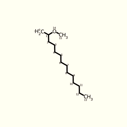 [CH2]C(CCCCCCCCCCCC)OC